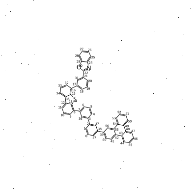 c1cc(-c2cccc(-c3cccc4c3sc3c(-c5cccc(-c6nc7ccccc7o6)c5)cccc34)c2)cc(-c2ccc3c4ccccc4c4ccccc4c3c2)c1